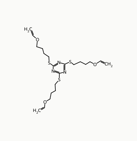 C=COCCCCSc1nc(SCCCCOC=C)nc(SCCCCOC=C)n1